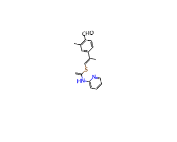 C=C(Nc1ccccn1)S/C=C(\C)c1ccc(C=O)c(C)c1